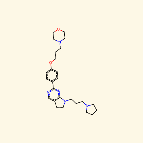 c1cc(-c2ncc3c(n2)N(CCCN2CCCC2)CC3)ccc1OCCCN1CCOCC1